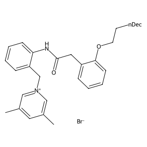 CCCCCCCCCCCCOc1ccccc1CC(=O)Nc1ccccc1C[n+]1cc(C)cc(C)c1.[Br-]